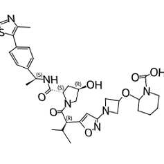 Cc1ncsc1-c1ccc([C@H](C)NC(=O)[C@@H]2C[C@@H](O)CN2C(=O)[C@@H](c2cc(N3CC(OC4CCCCN4C(=O)O)C3)no2)C(C)C)cc1